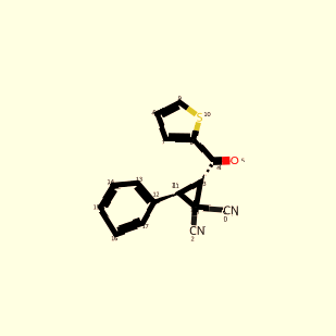 N#CC1(C#N)[C@@H](C(=O)c2cccs2)[C@@H]1c1ccccc1